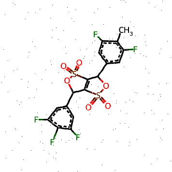 Cc1c(F)cc(C2OS(=O)(=O)C3=C2S(=O)(=O)OC3c2cc(F)c(F)c(F)c2)cc1F